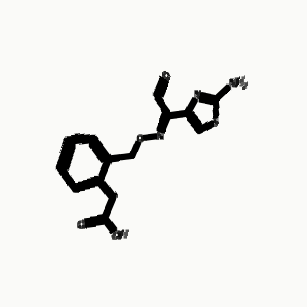 Nc1nc(C([C]=O)=NOCc2ccccc2CC(=O)O)cs1